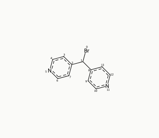 BrC(c1ccncc1)c1ccncc1